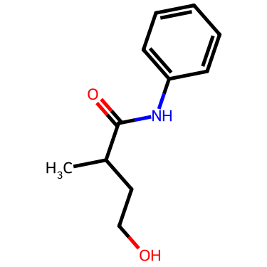 CC(CCO)C(=O)Nc1ccccc1